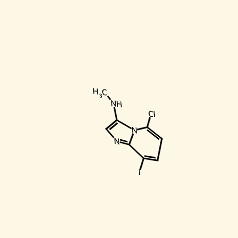 CNc1cnc2c(I)ccc(Cl)n12